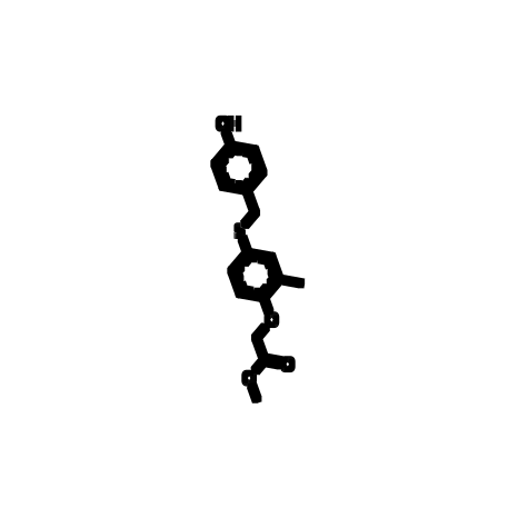 COC(=O)COc1ccc(SCc2ccc(O)cc2)cc1C